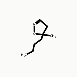 CCCCC1(C)CC=NO1